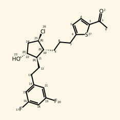 CC(=O)c1ccc(CCC[C@@H]2[C@@H](CCc3cc(F)cc(F)c3)[C@H](O)C[C@H]2Cl)s1